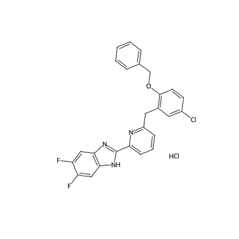 Cl.Fc1cc2nc(-c3cccc(Cc4cc(Cl)ccc4OCc4ccccc4)n3)[nH]c2cc1F